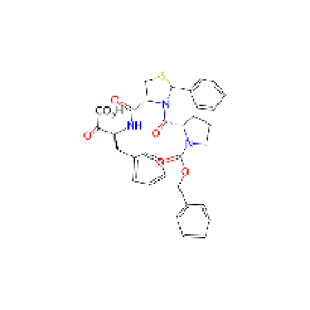 O=C(O)C(=O)[C@H](Cc1ccccc1)NC(=O)[C@@H]1CSC(c2ccccc2)N1C(=O)[C@@H]1CCCN1C(=O)OCc1ccccc1